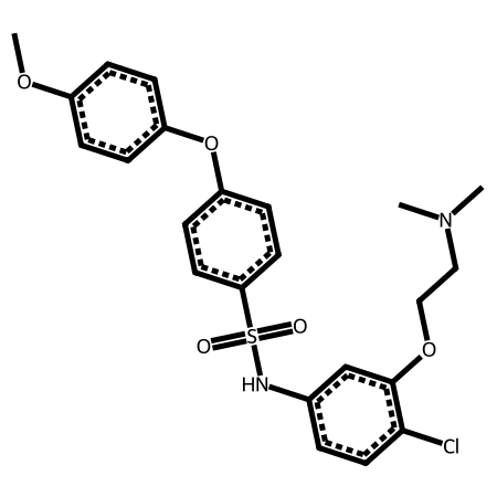 COc1ccc(Oc2ccc(S(=O)(=O)Nc3ccc(Cl)c(OCCN(C)C)c3)cc2)cc1